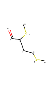 CSCCC(C=O)SC